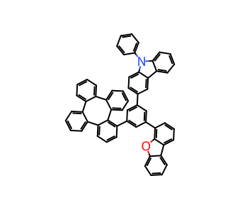 c1ccc(-n2c3ccccc3c3cc(-c4cc(-c5cccc6c5-c5ccccc5-c5ccccc5-c5ccccc5-6)cc(-c5cccc6c5oc5ccccc56)c4)ccc32)cc1